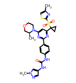 Cc1csc(S(=O)(=O)C2(c3cc(N4CCOC[C@@H]4C)nc(-c4ccc(NC(=O)Nc5cnn(C)c5)cc4)n3)CC2)n1